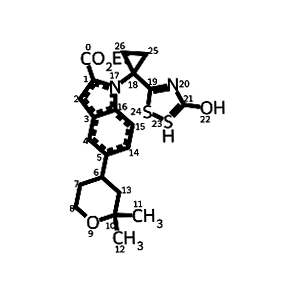 CCOC(=O)c1cc2cc(C3CCOC(C)(C)C3)ccc2n1C1(C2=NC(O)=[SH]S2)CC1